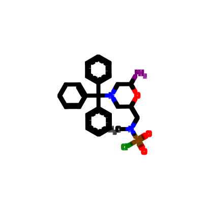 CN(CC1CN(C(C2=CCCC=C2)(c2ccccc2)c2ccccc2)CC(P)O1)S(=O)(=O)Cl